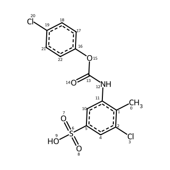 Cc1c(Cl)cc(S(=O)(=O)O)cc1NC(=O)Oc1ccc(Cl)cc1